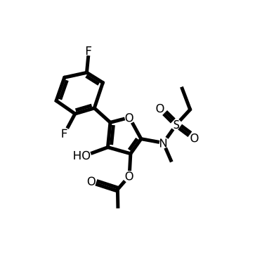 CCS(=O)(=O)N(C)c1oc(-c2cc(F)ccc2F)c(O)c1OC(C)=O